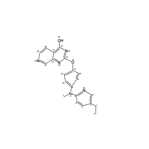 CCc1ccc([As](C)c2ccc(Oc3nc(O)c4ccncc4n3)cc2)nc1